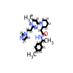 Cc1ccc(C(C)NC(=O)CC2CCCCN2c2cc(C)nc(CCn3ccnc3)n2)cc1